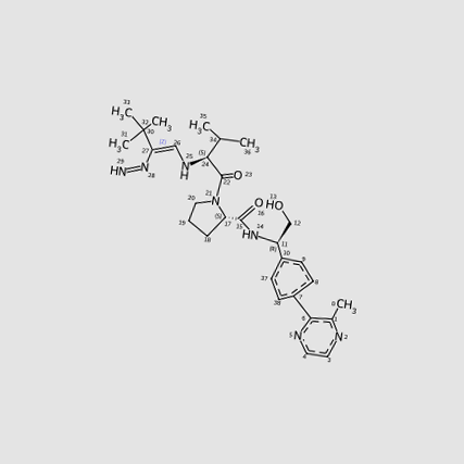 Cc1nccnc1-c1ccc([C@H](CO)NC(=O)[C@@H]2CCCN2C(=O)[C@@H](N/C=C(\N=N)C(C)(C)C)C(C)C)cc1